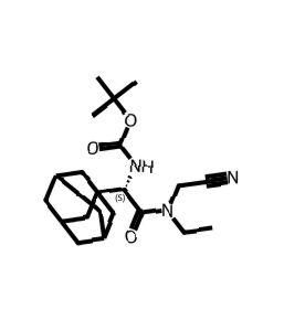 CCN(CC#N)C(=O)[C@@H](NC(=O)OC(C)(C)C)C12CC3CC(CC(C3)C1)C2